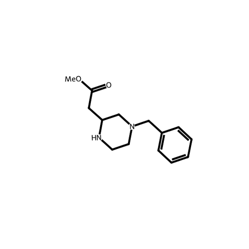 COC(=O)CC1CN(Cc2ccccc2)CCN1